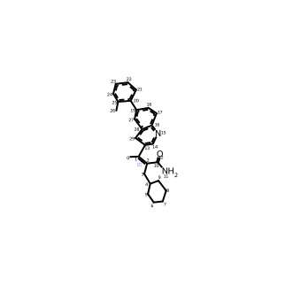 C/C(=C(\CC1CCCCC1)C(N)=O)c1cnc2ccc(-c3ccccc3C)cc2c1